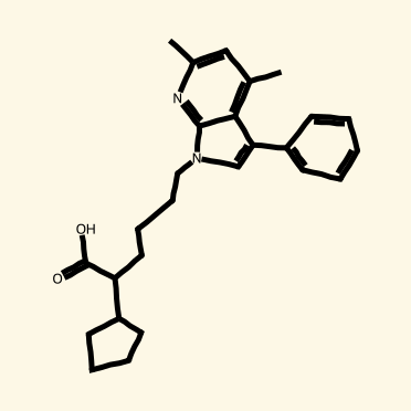 Cc1cc(C)c2c(-c3ccccc3)cn(CCCCC(C(=O)O)C3CCCC3)c2n1